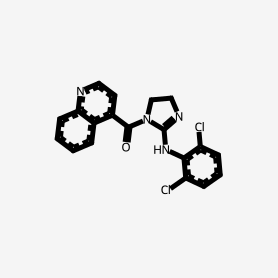 O=C(c1ccnc2ccccc12)N1CCN=C1Nc1c(Cl)cccc1Cl